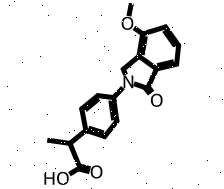 COc1cccc2c1CN(c1ccc(C(C)C(=O)O)cc1)C2=O